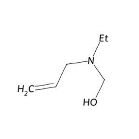 C=CCN(CC)CO